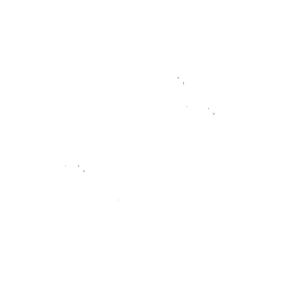 CC(=O)NC(C)c1ccc(C(=N)N)cc1